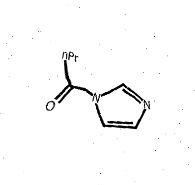 [CH2]CCC(=O)n1ccnc1